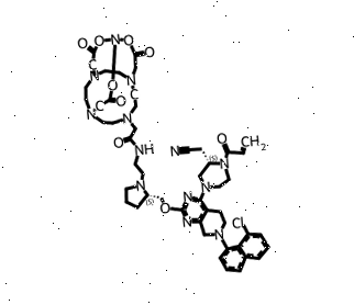 C=CC(=O)N1CCN(c2nc(OC[C@@H]3CCCN3CCNC(=O)CN3CCN4CCN5CCN(CC3)CC(=O)ON(OC(=O)C4)OC(=O)C5)nc3c2CCN(c2cccc4cccc(Cl)c24)C3)C[C@@H]1CC#N